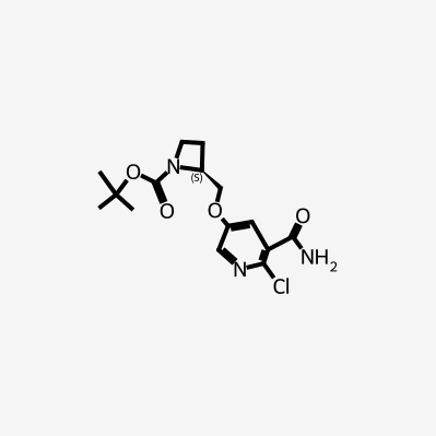 CC(C)(C)OC(=O)N1CC[C@H]1COc1cnc(Cl)c(C(N)=O)c1